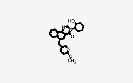 COc1ccc(Cc2cc3c(=O)n(C4CCCCC4O)cnc3c3ccccc23)cn1